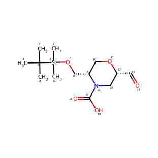 CC(C)(C)[Si](C)(C)OC[C@@H]1CO[C@H](C=O)CN1C(=O)O